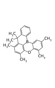 Cc1cc(C)c2c(c1)B1c3ccccc3C(C)(C)c3c(C)cc(C)c(c31)O2